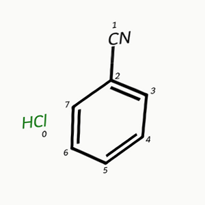 Cl.N#Cc1ccccc1